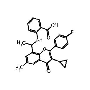 Cc1cc(C(C)Nc2ccccc2C(=O)O)c2oc(-c3ccc(F)cc3)c(C3CC3)c(=O)c2c1